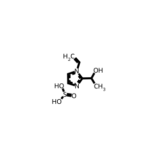 C=Cn1ccnc1C(C)O.O=S(O)O